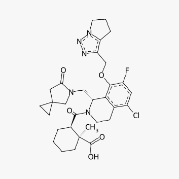 C[C@]1(C(=O)O)CCCC[C@H]1C(=O)N1CCc2c(Cl)cc(F)c(OCc3nnn4c3CCC4)c2[C@H]1CN1CC2(CC2)CC1=O